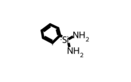 N[Si](N)c1[c]cccc1